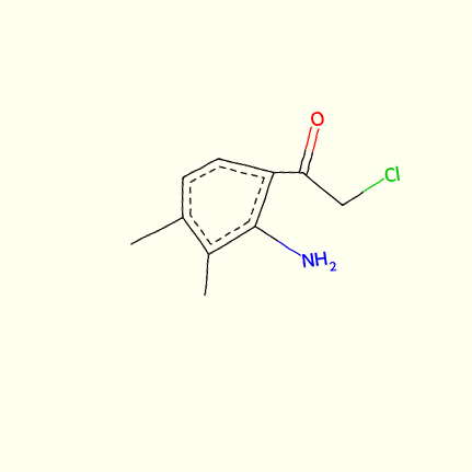 Cc1ccc(C(=O)CCl)c(N)c1C